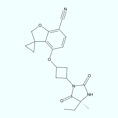 CC[C@]1(C)NC(=O)N(C2CC(Oc3ccc(C#N)c4c3C3(CC3)CO4)C2)C1=O